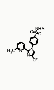 CC(=O)NS(=O)(=O)c1ccc(-n2cc(C(F)(F)F)nc2-c2cccc(C)n2)cc1